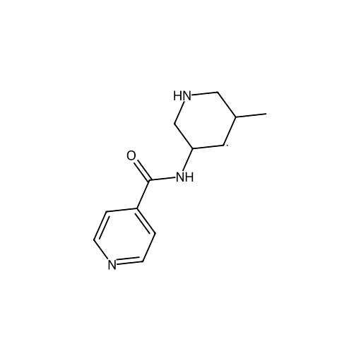 CC1[CH]C(NC(=O)c2ccncc2)CNC1